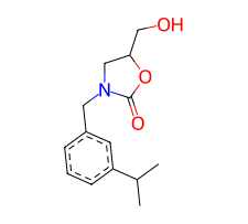 CC(C)c1cccc(CN2CC(CO)OC2=O)c1